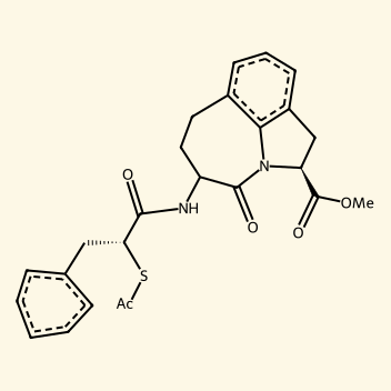 COC(=O)[C@@H]1Cc2cccc3c2N1C(=O)C(NC(=O)[C@@H](Cc1ccccc1)SC(C)=O)CC3